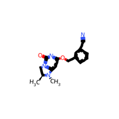 C[C@H]1Cn2c(cc(OCc3cccc(C#N)c3)nc2=O)N1C